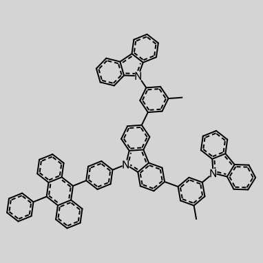 Cc1cc(-c2ccc3c(c2)c2cc(-c4cc(C)cc(-n5c6ccccc6c6ccccc65)c4)ccc2n3-c2ccc(-c3c4ccccc4c(-c4ccccc4)c4ccccc34)cc2)cc(-n2c3ccccc3c3ccccc32)c1